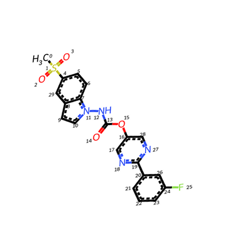 CS(=O)(=O)c1ccc2c(ccn2NC(=O)Oc2cnc(-c3cccc(F)c3)nc2)c1